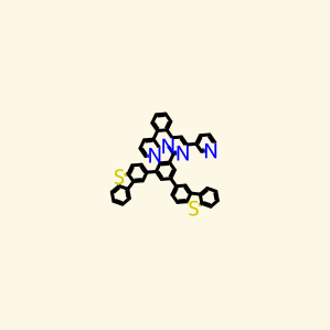 c1cncc(-c2cc(-c3ccccc3-c3cccnc3)nc(-c3cc(-c4ccc5sc6ccccc6c5c4)cc(-c4ccc5sc6ccccc6c5c4)c3)n2)c1